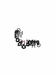 COC1(c2ccc(CNC[C@H]3CCC(=O)N3)cc2)C=CC=C(c2cccc(-c3ccn4c(=O)c(CNC[C@@H]5CCC(=O)N5)cnc4c3)c2C)C1Cl